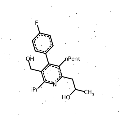 CCCCCc1c(CC(C)O)nc(C(C)C)c(CO)c1-c1ccc(F)cc1